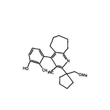 COCC1(c2nc3c(c(-c4cccc(O)c4C)c2C#N)CCCCC3)CCCC1